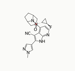 Cn1cc(-c2[nH]c3nccc(N4CC5CCC(C4)N5C(=O)[C@@H]4C[C@H]4F)c3c2C#N)cn1